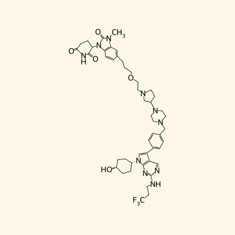 Cn1c(=O)n(C2CCC(=O)NC2=O)c2ccc(CCCOCCN3CCC(N4CCN(Cc5ccc(-c6cn([C@H]7CC[C@H](O)CC7)c7nc(NCCC(F)(F)F)ncc67)cc5)CC4)C3)cc21